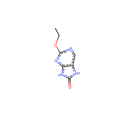 CCOc1ncc2[nH]c(=O)[nH]c2n1